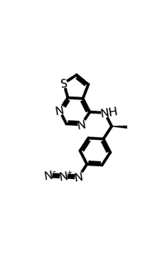 C[C@H](Nc1ncnc2sccc12)c1ccc(N=[N+]=[N-])cc1